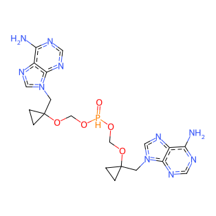 Nc1ncnc2c1ncn2CC1(OCO[PH](=O)OCOC2(Cn3cnc4c(N)ncnc43)CC2)CC1